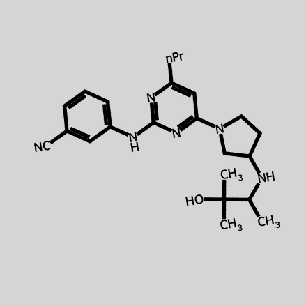 CCCc1cc(N2CCC(NC(C)C(C)(C)O)C2)nc(Nc2cccc(C#N)c2)n1